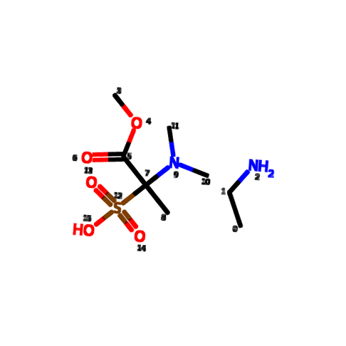 CCN.COC(=O)C(C)(N(C)C)S(=O)(=O)O